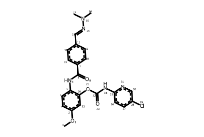 COc1ccc(NC(=O)c2ccc(C=NN(C)C)cc2)c(OC(=O)Nc2ccc(Cl)cn2)c1